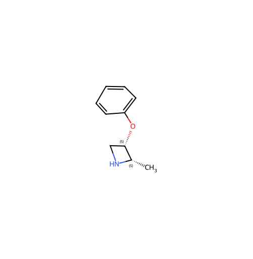 C[C@@H]1NC[C@@H]1Oc1ccccc1